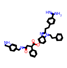 N=C(N)c1ccc(CCc2nc3cc(OC(=O)C(CC(=O)[N]Cc4ccc(CN)cc4)c4ccccc4)ccc3n2CCc2ccccc2)cc1